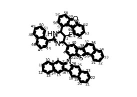 CC[C@H]1C(c2cc(-n3c4cc5ccccc5cc4c4cc5ccccc5cc43)c3sc4c5ccccc5ccc4c3c2)N=C(c2cccc3ccccc23)NC1c1cccc2oc3ccccc3c12